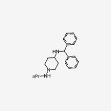 CCCNN1CCC(NC(c2ccccc2)c2ccccc2)CC1